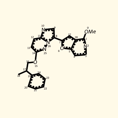 COc1nccc2oc(-c3cnc4ccc(OCC(C)c5ccccc5)nn34)cc12